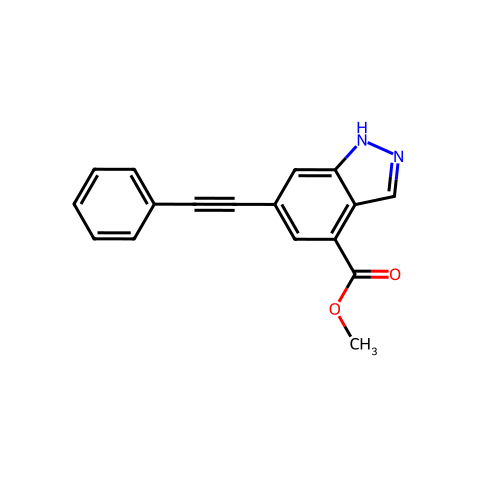 COC(=O)c1cc(C#Cc2ccccc2)cc2[nH]ncc12